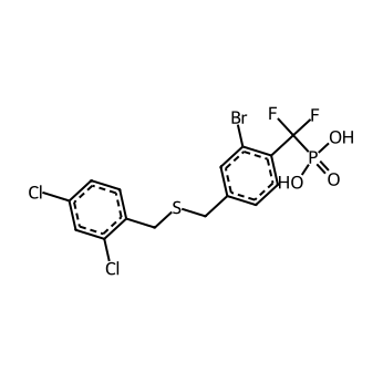 O=P(O)(O)C(F)(F)c1ccc(CSCc2ccc(Cl)cc2Cl)cc1Br